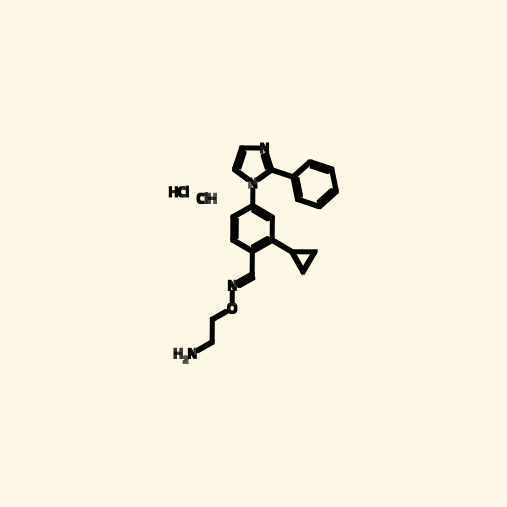 Cl.Cl.NCCON=Cc1ccc(-n2ccnc2-c2ccccc2)cc1C1CC1